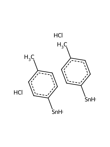 Cc1cc[c]([SnH])cc1.Cc1cc[c]([SnH])cc1.Cl.Cl